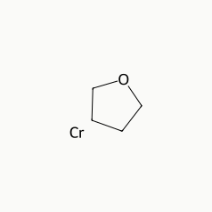 C1CCOC1.[Cr]